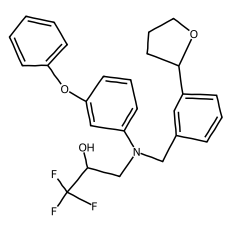 OC(CN(Cc1cccc(C2CCCO2)c1)c1cccc(Oc2ccccc2)c1)C(F)(F)F